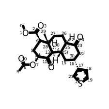 COC(=O)[C@@H]1C[C@H](OC(C)=O)C(=O)[C@@H]2[C@H]3C[C@@H](c4ccsc4)CC(=O)[C@@H]3CC[C@]21C